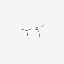 CC(C)C[C@H](C)F